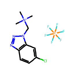 C[N+](C)(C)Cn1nnc2ccc(Cl)cc21.F[P-](F)(F)(F)(F)F